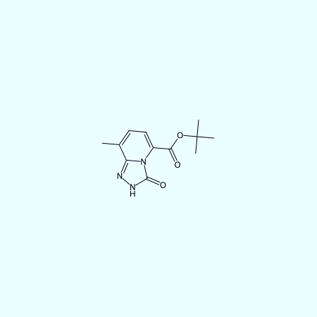 Cc1ccc(C(=O)OC(C)(C)C)n2c(=O)[nH]nc12